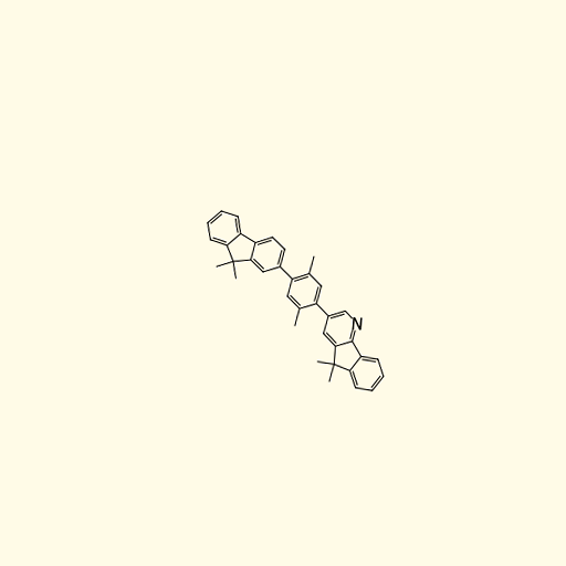 Cc1cc(-c2cnc3c(c2)C(C)(C)c2ccccc2-3)c(C)cc1-c1ccc2c(c1)C(C)(C)c1ccccc1-2